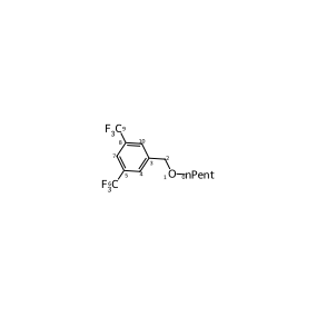 [CH2]CCCCOCc1cc(C(F)(F)F)cc(C(F)(F)F)c1